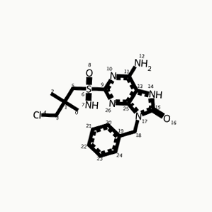 CC(C)(CCl)CS(=N)(=O)c1nc(N)c2[nH]c(=O)n(Cc3ccccc3)c2n1